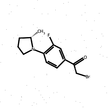 C[C@H]1CCCN1c1ccc(C(=O)CBr)cc1F